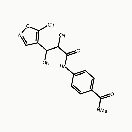 CNC(=O)c1ccc(NC(=O)C(C#N)C(O)c2cnoc2C)cc1